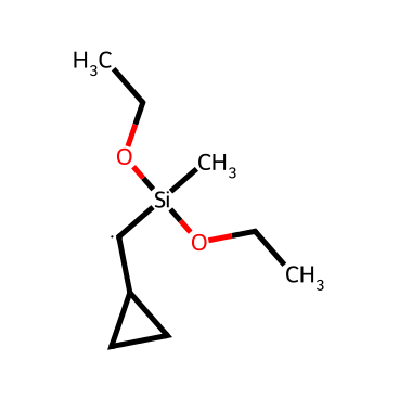 CCO[Si](C)([CH]C1CC1)OCC